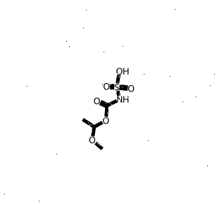 COC(C)OC(=O)NS(=O)(=O)O